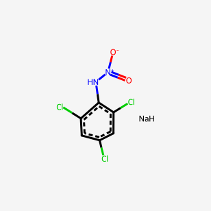 O=[N+]([O-])Nc1c(Cl)cc(Cl)cc1Cl.[NaH]